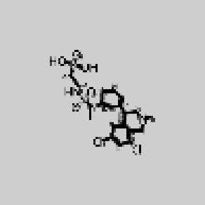 CN1Cc2c(Cl)cc(Cl)cc2C(c2cccc(NS(=O)(=O)NCCP(=O)(O)O)c2)C1